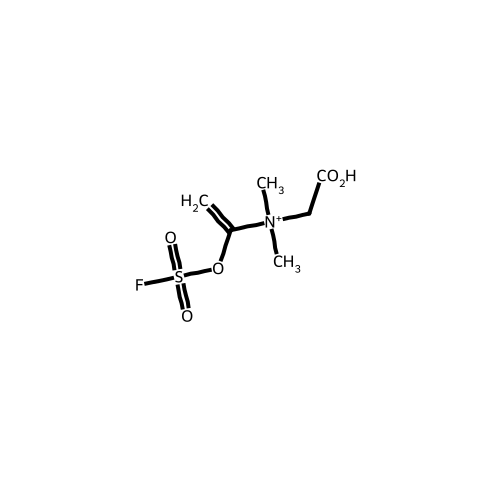 C=C(OS(=O)(=O)F)[N+](C)(C)CC(=O)O